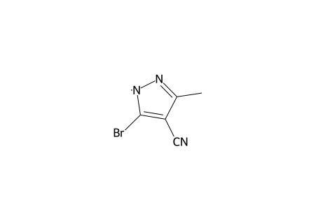 CC1=N[N]C(Br)=C1C#N